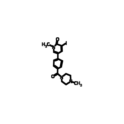 CN1CCN(C(=O)c2ccc(-c3cc(I)c(=O)n(C)c3)cc2)CC1